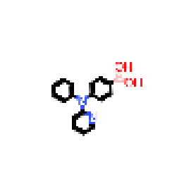 OB(O)c1ccc(N(c2ccccc2)c2ccccn2)cc1